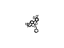 COc1ccc2c(c1OC)-c1ccc3c(c1C(OCC1CC=CCC1)O2)C(C)=CC(C)(C)N3